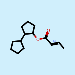 C/C=C/C(=O)OC1CCCC1C1CCCC1